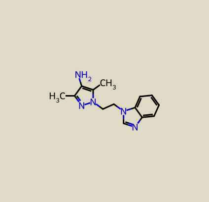 Cc1nn(CCn2cnc3ccccc32)c(C)c1N